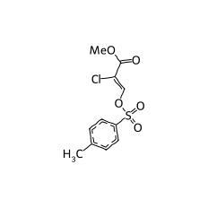 COC(=O)C(Cl)=COS(=O)(=O)c1ccc(C)cc1